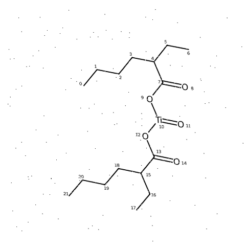 CCCCC(CC)C(=O)[O][Ti](=[O])[O]C(=O)C(CC)CCCC